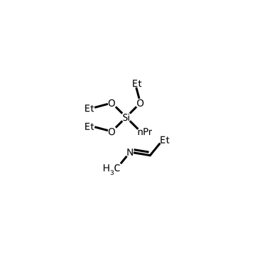 CCC=NC.CCC[Si](OCC)(OCC)OCC